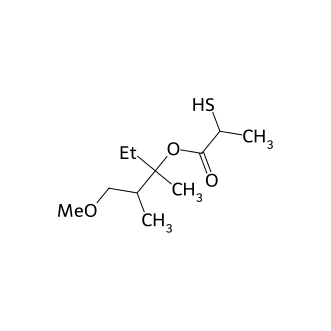 CCC(C)(OC(=O)C(C)S)C(C)COC